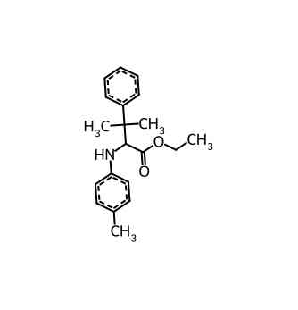 CCOC(=O)C(Nc1ccc(C)cc1)C(C)(C)c1ccccc1